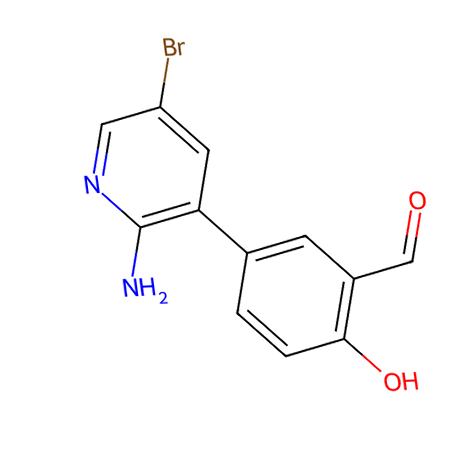 Nc1ncc(Br)cc1-c1ccc(O)c(C=O)c1